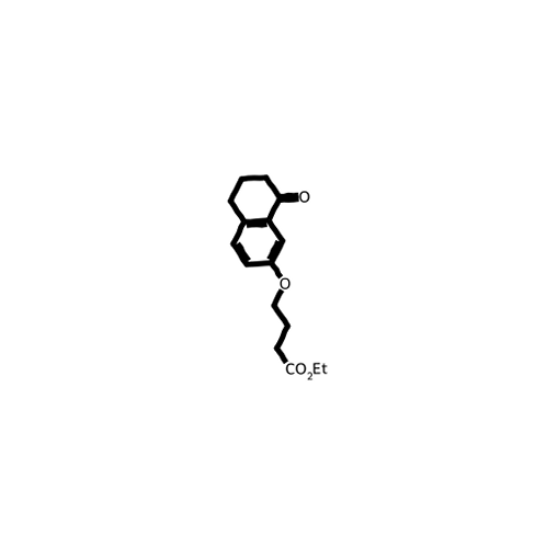 CCOC(=O)CCCOc1ccc2c(c1)C(=O)CCC2